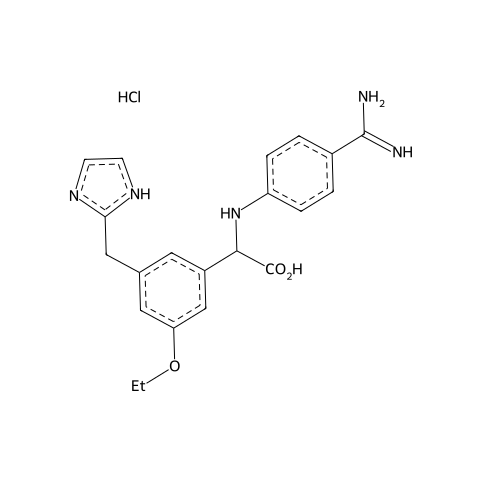 CCOc1cc(Cc2ncc[nH]2)cc(C(Nc2ccc(C(=N)N)cc2)C(=O)O)c1.Cl